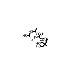 CC(CO)(CO)CO.CC(S)C(=O)O.CC(S)C(=O)O.CC(S)C(=O)O